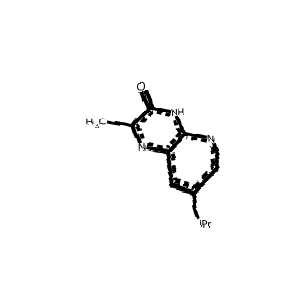 Cc1nc2cc(C(C)C)cnc2[nH]c1=O